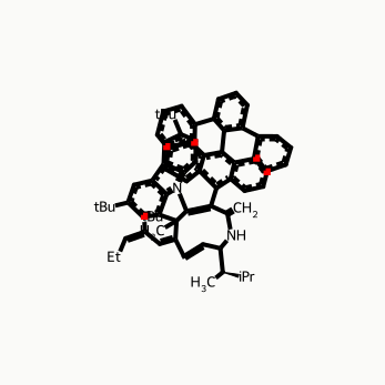 C=C1NC([C@H](C)C(C)C)/C=C/C(=C/C(=C\CC)C(C)(C)C)C2(C)/C(=C\1c1c3ccccc3c(-c3c(-c4ccccc4)cccc3-c3ccccc3)c3ccccc13)n1c3ccc(C(C)(C)C)cc3c3cc(C(C)(C)C)cc2c31